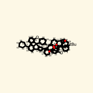 CC(C)(C)c1ccc2c(c1)C1(c3cc(C(C)(C)C)ccc3O2)c2ccccc2-c2ccc(N(c3ccc4c(c3)C3(c5ccccc5O4)c4cc(C5CCCCC5)ccc4-c4ccc(C5CCCCC5)cc43)c3ccccc3-c3ccc(-c4ccccc4)cc3)cc21